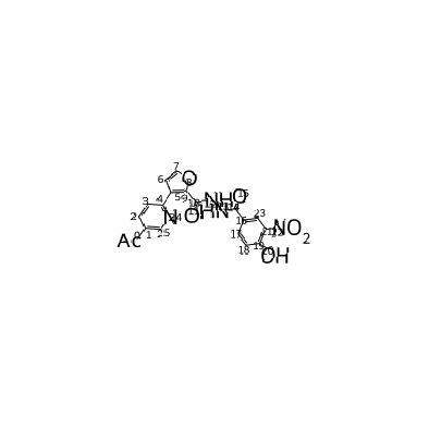 CC(=O)c1ccc(-c2ccoc2C(=O)NNC(=O)c2ccc(O)c([N+](=O)[O-])c2)nc1